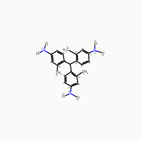 CCN(CC)c1ccc(C(c2ccc(N(CC)CC)cc2C)c2ccc(N(CC)CC)cc2C)c(C)c1